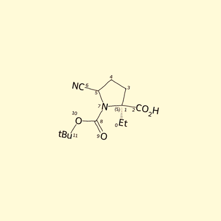 CC[C@@]1(C(=O)O)CCC(C#N)N1C(=O)OC(C)(C)C